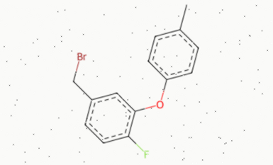 Cc1ccc(Oc2cc(CBr)ccc2F)cc1